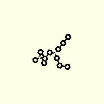 c1ccc(-c2ccc(-c3ccc(N(c4ccc(-c5cccc(-c6ccccc6)c5)cc4)c4cccc(-c5cc6ccccc6c6c5c5ccccc5n6-c5ccccc5)c4)cc3)cc2)cc1